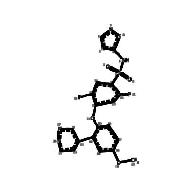 O=S(=O)(Nc1ncns1)c1cc(F)c(Oc2ccc(OC(F)(F)F)cc2-c2ccnnc2)cc1F